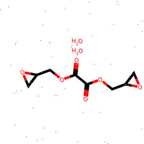 O.O.O=C(OCC1CO1)C(=O)OCC1CO1